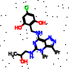 CC(O)CNc1nc(NCc2c(O)cc(Cl)cc2O)c2nnc(C(C)C)c-2n1C(C)C